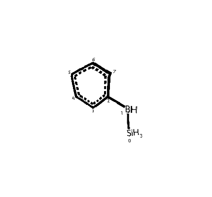 [SiH3]Bc1ccccc1